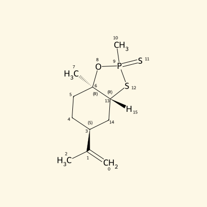 C=C(C)[C@H]1CC[C@@]2(C)OP(C)(=S)S[C@@H]2C1